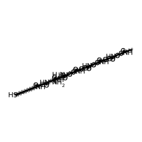 CCCCCNC(=O)COCCOCCNC(=O)COCCOCCNC(=O)COCCOCCNC(=O)COCCOCCNC(=O)COCCOCCNC(=O)[C@@H](N)CCCCNC(=O)[C@@H](N)CCCCNC(=O)CCCCCNC(=O)CCCCCCCCCCCCCCCS